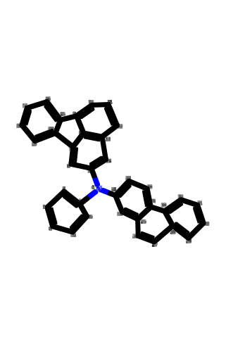 c1ccc(N(c2cc3c4c(cccc4c2)-c2ccccc2-3)c2ccc3c(ccc4ccccc43)c2)cc1